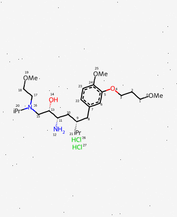 COCCCOc1cc(C[C@@H](C[C@H](N)[C@@H](O)CN(CCOC)C(C)C)C(C)C)ccc1OC.Cl.Cl